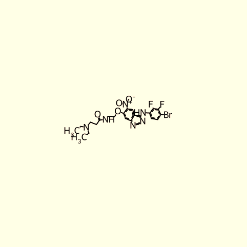 CCN(CC)CCC(=O)NCCOc1cc2ncnc(Nc3ccc(Br)c(F)c3F)c2cc1[N+](=O)[O-]